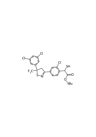 CC(C)(C)OC(=O)C(S)c1ccc(C2=NSC(c3cc(Cl)cc(Cl)c3)(C(F)(F)F)C2)cc1Cl